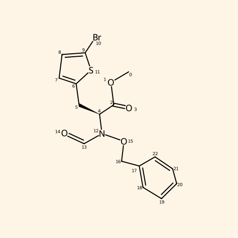 COC(=O)[C@H](Cc1ccc(Br)s1)N(C=O)OCc1ccccc1